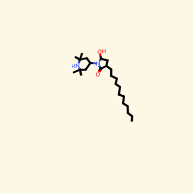 CCCCCCCCCCCCC1CC(O)N(C2CC(C)(C)NC(C)(C)C2)C1=O